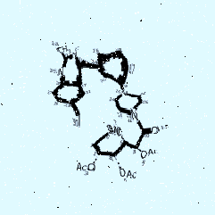 CC(=O)OC[C@@H](OC(C)=O)[C@@H](OC(C)=O)[C@H](OC(C)=O)[C@@H](OC(C)=O)C(=O)N1CCN(c2cccc(-c3nc(C)nc4ccc(I)cc34)c2)CC1